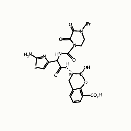 CC(C)N1CCN(C(=O)NC(C(=O)N[C@H]2Cc3cccc(C(=O)O)c3OB2O)c2csc(N)n2)C(=O)C1=O